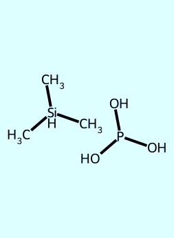 C[SiH](C)C.OP(O)O